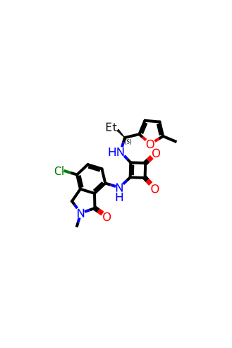 CC[C@H](Nc1c(Nc2ccc(Cl)c3c2C(=O)N(C)C3)c(=O)c1=O)c1ccc(C)o1